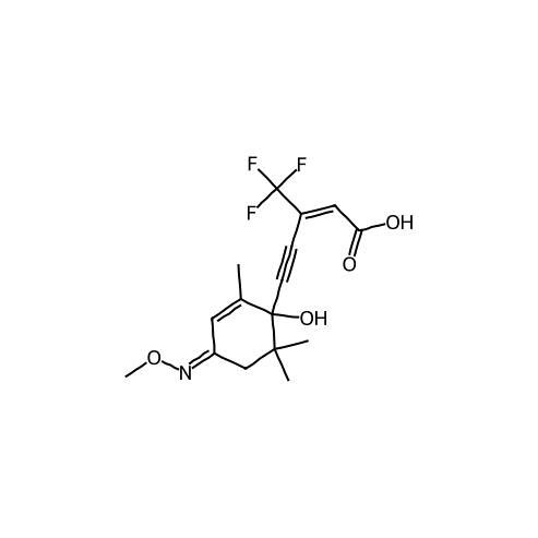 CON=C1C=C(C)C(O)(C#C/C(=C\C(=O)O)C(F)(F)F)C(C)(C)C1